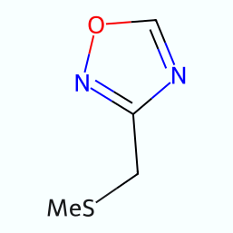 CSCc1ncon1